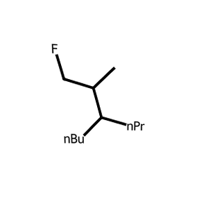 CCCCC(CCC)C(C)CF